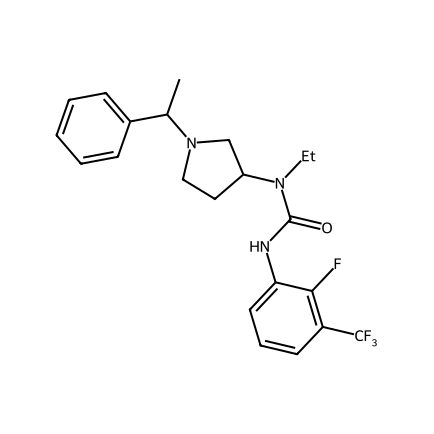 CCN(C(=O)Nc1cccc(C(F)(F)F)c1F)C1CCN(C(C)c2ccccc2)C1